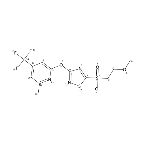 COCCS(=O)(=O)c1nc(Oc2cc(C(F)(F)F)cc(C)n2)ns1